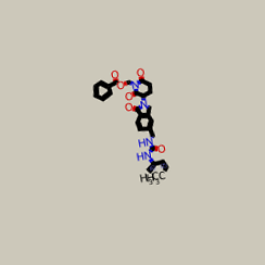 C/C=C\C(=C/C)NC(=O)NCc1ccc2c(c1)CN(C1CCC(=O)N(COC(=O)c3ccccc3)C1=O)C2=O